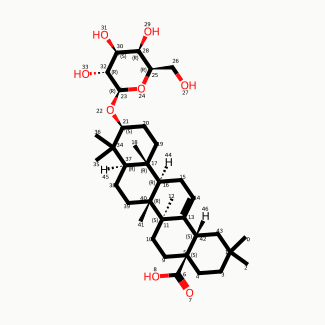 CC1(C)CC[C@]2(C(=O)O)CC[C@]3(C)C(=CC[C@@H]4[C@@]5(C)CC[C@H](O[C@@H]6O[C@H](CO)[C@H](O)[C@H](O)[C@H]6O)C(C)(C)[C@@H]5CC[C@]43C)[C@@H]2C1